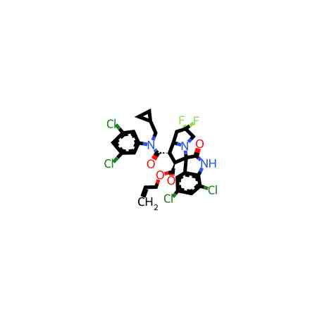 C=CCOC(=O)[C@H]1[C@H](C(=O)N(CC2CC2)c2cc(Cl)cc(Cl)c2)C2CC(F)(F)CN2C12C(=O)Nc1c(Cl)cc(Cl)cc12